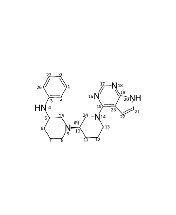 c1ccc(NC2CCCN([C@@H]3CCCN(c4ncnc5[nH]ccc45)C3)C2)cc1